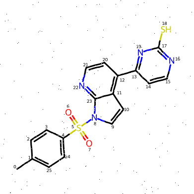 Cc1ccc(S(=O)(=O)n2ccc3c(-c4ccnc(S)n4)ccnc32)cc1